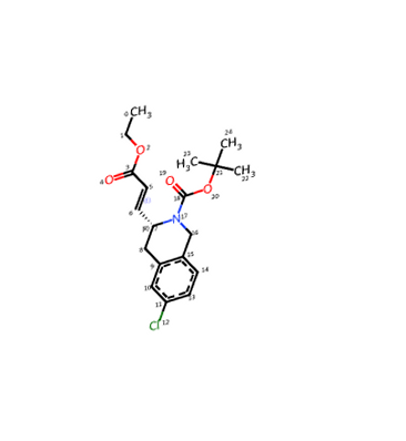 CCOC(=O)/C=C/[C@H]1Cc2cc(Cl)ccc2CN1C(=O)OC(C)(C)C